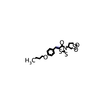 CCCCOc1ccc(/C=C2\SC(=S)N(C3CCS(=O)(=O)C3)C2=O)cc1